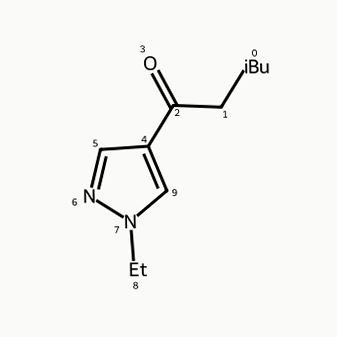 CCC(C)CC(=O)c1cnn(CC)c1